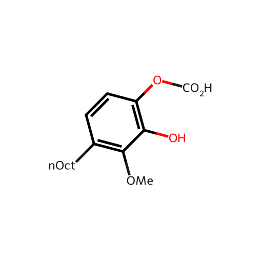 CCCCCCCCc1ccc(OC(=O)O)c(O)c1OC